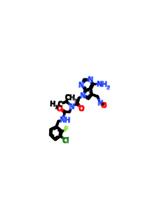 CC(C)N(CC(=O)NCc1cccc(Cl)c1F)C(=O)Cn1cc(CN=O)c2c(N)ncnc21